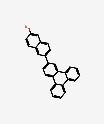 Brc1ccc2cc(-c3ccc4c5ccccc5c5ccccc5c4c3)ccc2c1